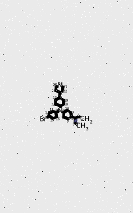 C=C/C(=C\C)c1ccc(N(c2ccc(Br)cc2)c2ccc(-c3ccncc3)cc2)cc1